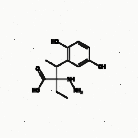 CCC(NN)(C(=O)O)C(C)c1cc(O)ccc1O